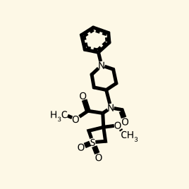 COC(=O)C(N(C=O)C1CCN(c2ccccc2)CC1)C1(OC)CS(=O)(=O)C1